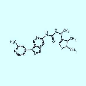 Cc1cc(-n2ncc3cc(NC(=O)NC(C)C4=CSC(C)N4C)ncc32)ccn1